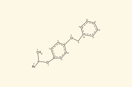 CC(=O)C(C)Oc1ccc(OCc2ccccc2)cc1